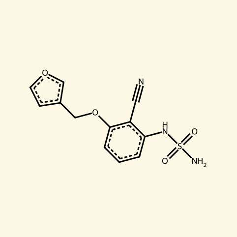 N#Cc1c(NS(N)(=O)=O)cccc1OCc1ccoc1